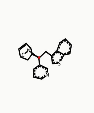 C1=CC2C(Cc3cccnc3)CC1CN2CCc1csc2ccccc12